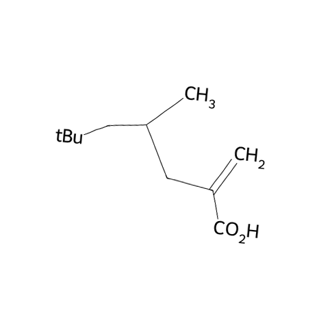 C=C(CC(C)CC(C)(C)C)C(=O)O